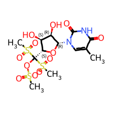 Cc1cn([C@@H]2O[C@H](C(OS(C)(=O)=O)(S(C)(=O)=O)S(C)(=O)=O)[C@@H](O)[C@H]2O)c(=O)[nH]c1=O